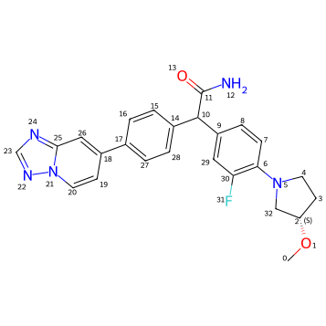 CO[C@H]1CCN(c2ccc(C(C(N)=O)c3ccc(-c4ccn5ncnc5c4)cc3)cc2F)C1